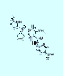 CC(C)[C@H](NC(=O)[C@@H]1CCCN1C(=O)[C@@H]1CCC(=O)N1)C(=O)Nc1ccc([N+](=O)[O-])cc1